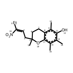 CCC(=CCC1(C)CCc2c(C)c(O)c(C)c(C)c2O1)[N+](=O)[O-]